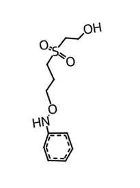 O=S(=O)(CCO)CCCONc1ccccc1